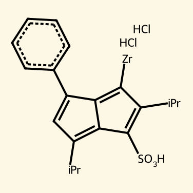 CC(C)C1=C2C(=[C]([Zr])C(C(C)C)=C2S(=O)(=O)O)C(c2ccccc2)=C1.Cl.Cl